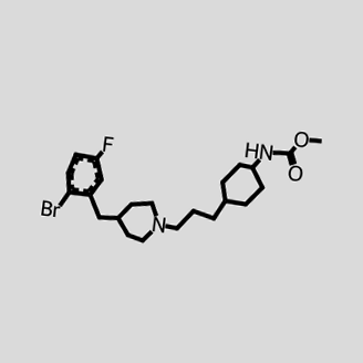 COC(=O)NC1CCC(CCCN2CCC(Cc3cc(F)ccc3Br)CC2)CC1